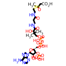 C[SH](CCNC(=O)CCNC(=O)[C@H](O)C(C)(C)COP(=O)(O)OP(=O)(O)OC[C@H]1O[C@@H](n2cnc3c(N)ncnc32)[C@H](O)[C@@H]1OP(=O)(O)O)C(=O)CC(=O)O